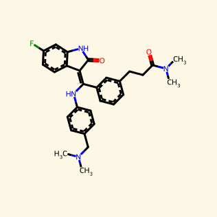 CN(C)Cc1ccc(NC(=C2C(=O)Nc3cc(F)ccc32)c2cccc(CCC(=O)N(C)C)c2)cc1